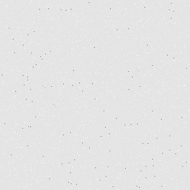 Cc1c(-c2ccc(CC3CCN(C(=O)NF)CC3)cc2)ccc2cccnc12